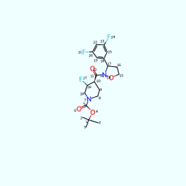 CC(C)(C)OC(=O)N1CC[C@H](C(=O)N2OCCC2c2cc(F)cc(F)c2)[C@H](F)C1